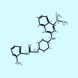 Cc1ccccc1NC(=O)NC1CCC(Nc2nc(N(C)C)c3ccccc3n2)CC1